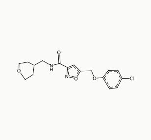 O=C(NCC1CCOCC1)c1cc(COc2ccc(Cl)cc2)on1